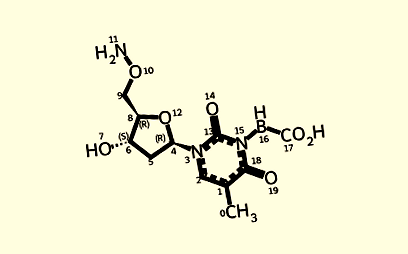 Cc1cn([C@H]2C[C@H](O)[C@@H](CON)O2)c(=O)n(BC(=O)O)c1=O